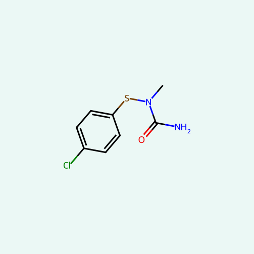 CN(Sc1ccc(Cl)cc1)C(N)=O